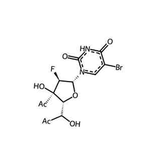 CC(=O)C(O)[C@H]1O[C@@H](n2cc(Br)c(=O)[nH]c2=O)[C@H](F)[C@@]1(O)C(C)=O